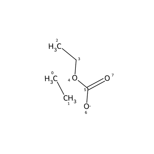 CC.CCOC([O])=O